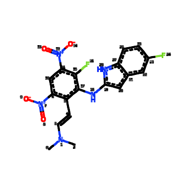 CN(C)C=Cc1c([N+](=O)[O-])cc([N+](=O)[O-])c(F)c1Nc1cc2cc(F)ccc2[nH]1